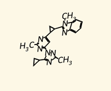 Cc1nc(C2CC2c2nc3ccccc3n2C)cc(-n2nc(C)nc2C2CC2)n1